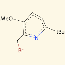 COc1ccc(C(C)(C)C)nc1CBr